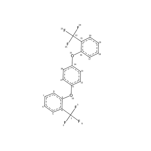 FC(F)(F)c1ccccc1Oc1ccc(Oc2ccccc2C(F)(F)F)cc1